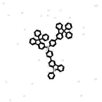 c1ccc(-n2c3ccccc3c3cc(-c4ccc(N(c5ccc(-c6ccc7c(c6)-c6ccccc6C7(c6ccccc6)c6ccccc6)cc5)c5ccc6c(c5)C(c5ccccc5)(c5ccccc5)c5ccccc5-6)cc4)ccc32)cc1